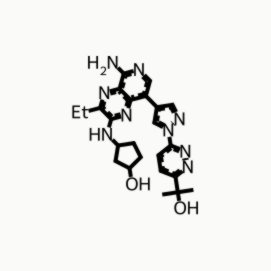 CCc1nc2c(N)ncc(-c3cnn(-c4ccc(C(C)(C)O)nn4)c3)c2nc1NC1CCC(O)C1